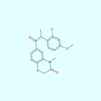 COc1ccc(C(C)C(=O)c2ccc3c(c2)N(C)C(=O)CO3)c(Cl)c1